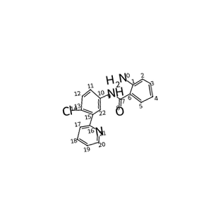 Nc1ccccc1C(=O)Nc1ccc(Cl)c(-c2ccccn2)c1